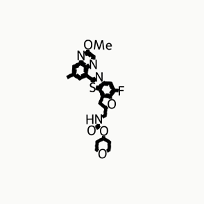 COc1cnc2c(-c3nc4cc(F)c5c(c4s3)CC(CNC(=O)OC3CCOCC3)O5)cc(C)cc2n1